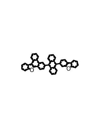 c1ccc2c(c1)oc1cc(-c3c4ccccc4c(-c4ccc5c(c4)c4ccccc4c4c6ccccc6oc54)c4ccccc34)ccc12